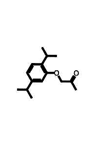 CC(=O)COc1cc(C(C)C)ccc1C(C)C